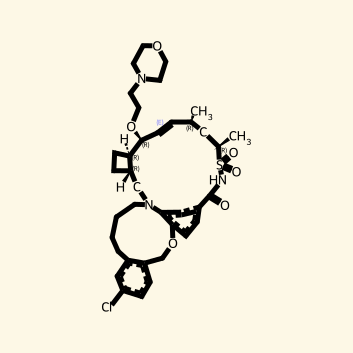 C[C@@H]1C[C@@H](C)/C=C/[C@H](OCCN2CCOCC2)[C@@H]2CC[C@H]2CN2CCCCc3cc(Cl)ccc3COc3ccc(cc32)C(=O)NS1(=O)=O